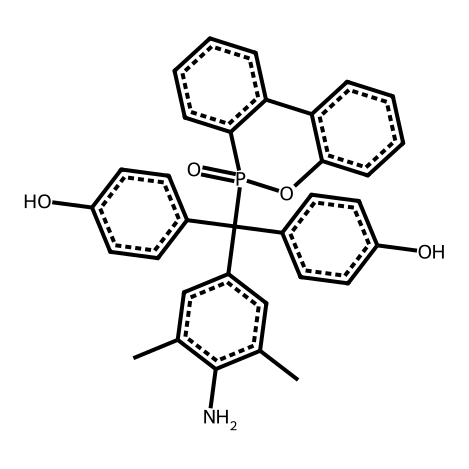 Cc1cc(C(c2ccc(O)cc2)(c2ccc(O)cc2)P2(=O)Oc3ccccc3-c3ccccc32)cc(C)c1N